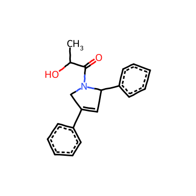 CC(O)C(=O)N1CC(c2ccccc2)=CC1c1ccccc1